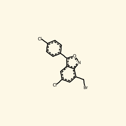 Clc1ccc(-c2onc3c(CBr)cc(Cl)cc23)cc1